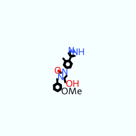 COc1cccc(CN2C(=O)N(c3ccc(-c4cn[nH]c4)c(C)c3)CC2CO)c1